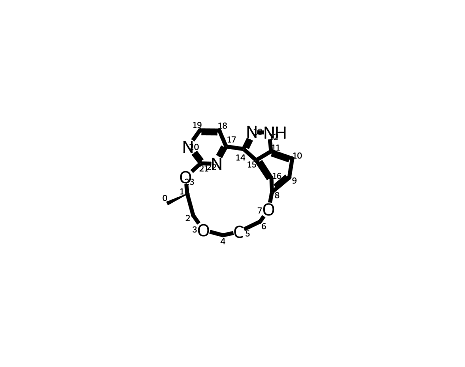 C[C@@H]1COCCCOc2ccc3[nH]nc(c3c2)-c2ccnc(n2)O1